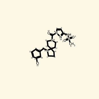 CS(=O)(=O)Nc1ccn(C(=O)N2CCC3(CCCN3Cc3cccc(Cl)c3)CC2)n1